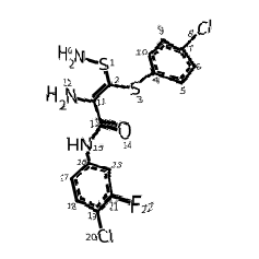 NS/C(Sc1ccc(Cl)cc1)=C(\N)C(=O)Nc1ccc(Cl)c(F)c1